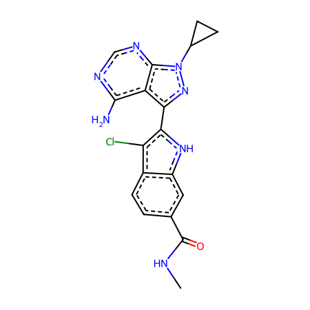 CNC(=O)c1ccc2c(Cl)c(-c3nn(C4CC4)c4ncnc(N)c34)[nH]c2c1